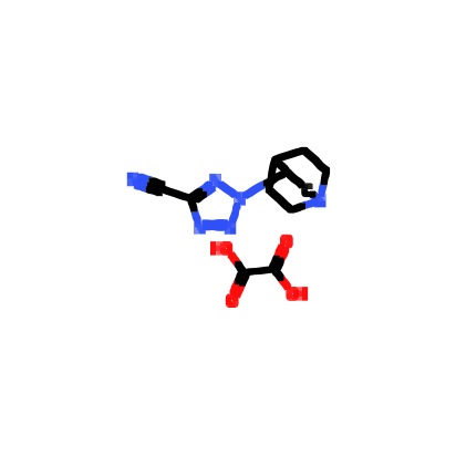 N#Cc1nnn(C2CN3CCC2CC3)n1.O=C(O)C(=O)O